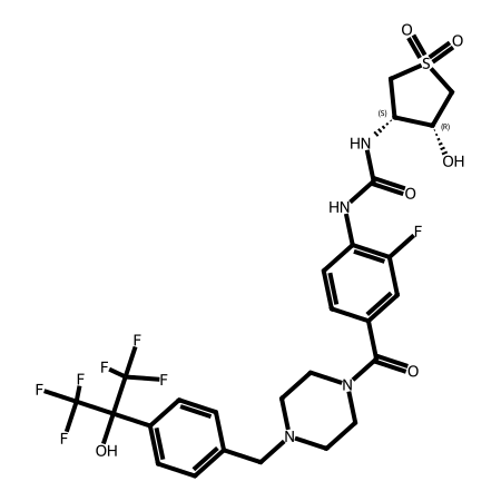 O=C(Nc1ccc(C(=O)N2CCN(Cc3ccc(C(O)(C(F)(F)F)C(F)(F)F)cc3)CC2)cc1F)N[C@@H]1CS(=O)(=O)C[C@@H]1O